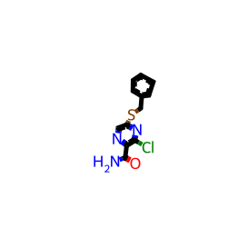 NC(=O)c1ncc(SCc2ccccc2)nc1Cl